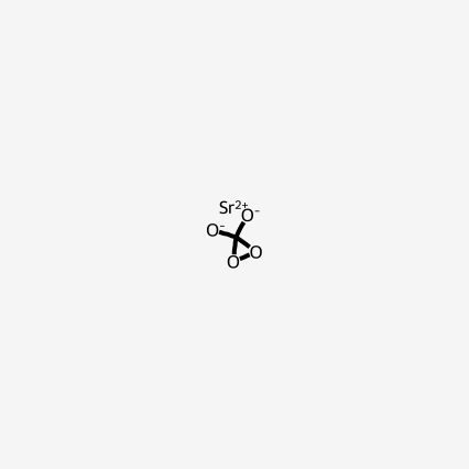 [O-]C1([O-])OO1.[Sr+2]